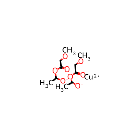 COCC(=O)OC(C)[O-].COCC(=O)OC(C)[O-].[Cu+2]